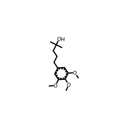 COc1cc(CCCC(C)(C)O)cc(OC)c1OC